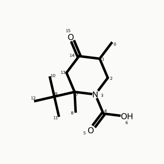 CC1CN(C(=O)O)C(C)(C(C)(C)C)CC1=O